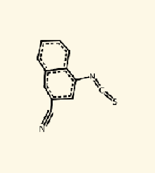 N#Cc1cc(N=C=S)c2ccccc2c1